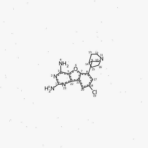 Nc1nc(N)c2oc3c(C4CN5CCC4CC5)cc(Cl)cc3c2n1